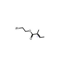 C/C=C(\C)C(=O)OCCC(C)C